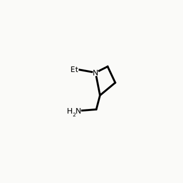 CCN1CCC1CN